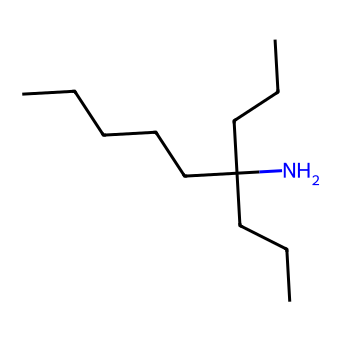 CCCCCC(N)(CCC)CCC